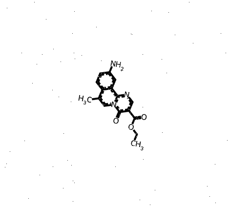 CCOC(=O)c1cnc2c3cc(N)ccc3c(C)cn2c1=O